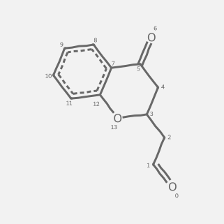 O=CCC1CC(=O)c2ccccc2O1